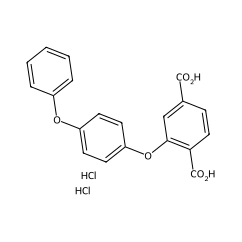 Cl.Cl.O=C(O)c1ccc(C(=O)O)c(Oc2ccc(Oc3ccccc3)cc2)c1